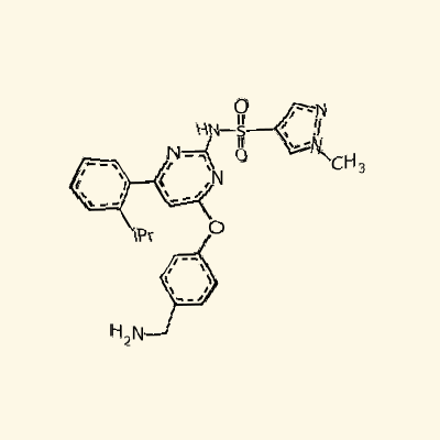 CC(C)c1ccccc1-c1cc(Oc2ccc(CN)cc2)nc(NS(=O)(=O)c2cnn(C)c2)n1